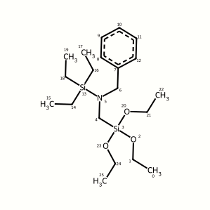 CCO[Si](CN(Cc1ccccc1)[Si](CC)(CC)CC)(OCC)OCC